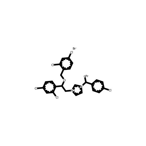 CCCC(c1ccc(Cl)cc1)[n+]1ccn(CC(OCc2ccc(Cl)cc2Cl)c2ccc(Cl)cc2Cl)c1.[Br-]